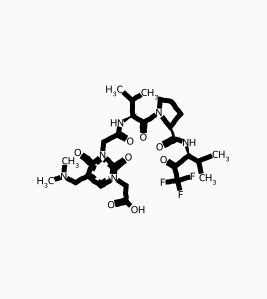 CC(C)[C@H](NC(=O)Cn1c(=O)c(CN(C)C)cn(CC(=O)O)c1=O)C(=O)N1CCC[C@H]1C(=O)N[C@H](C(=O)C(F)(F)F)C(C)C